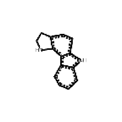 c1ccc2c(c1)[nH]c1ccc3c(c12)NCC3